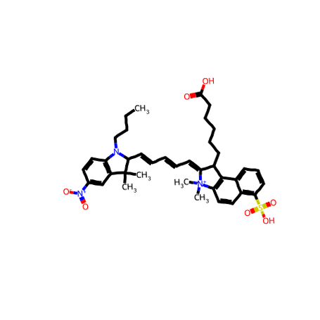 CCCCN1c2ccc([N+](=O)[O-])cc2C(C)(C)C1C=CC=CC=C1C(CCCCCC(=O)O)c2c(ccc3c(S(=O)(=O)O)cccc23)[N+]1(C)C